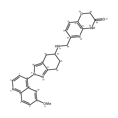 COc1ccc2nccc(-n3cc4c(n3)CCC(NCc3ccc5c(n3)NC(=O)CO5)C4)c2n1